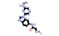 C=CC(=O)Nc1ccc2ncn(-c3cncc(NC(C)C)n3)c2c1